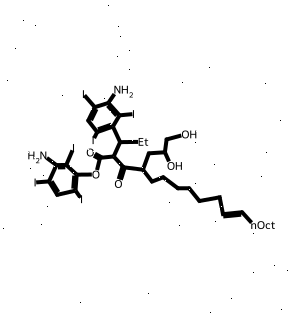 CCCCCCCCC=CCCCCCCC(CC(O)CO)C(=O)C(C(=O)Oc1c(I)cc(I)c(N)c1I)C(CC)c1c(I)cc(I)c(N)c1I